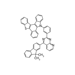 CC1(C)c2ccccc2-c2ccc(-c3nc(-c4cccc(-n5c6ccccc6c6c7c8ccccc8sc7c7ccccc7c65)c4)nc4ncccc34)cc21